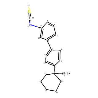 CCCCCCC1(c2ccc(-c3cccc(N=C=S)c3)cc2)CCCCC1